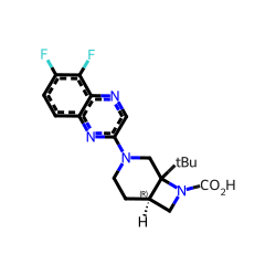 CC(C)(C)C12CN(c3cnc4c(F)c(F)ccc4n3)CC[C@@H]1CN2C(=O)O